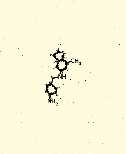 Cc1cc(NCc2ccc(N)cc2)cc2ccsc12